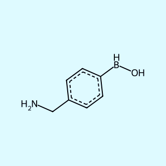 NCc1ccc(BO)cc1